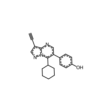 C#Cc1cnn2c(C3CCCCC3)c(-c3ccc(O)cc3)cnc12